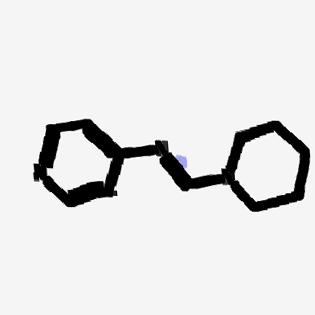 [c]1cnccc1/N=C/N1CCCCC1